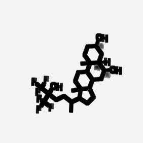 CC(CCC(O)(C(F)(F)F)C(F)(F)F)C1CCC2C3C[C@H](O)[C@@H]4C[C@H](O)CCC4(C)C3CCC12C